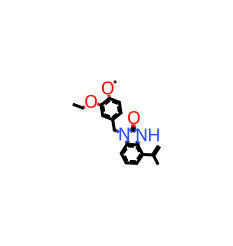 C=C(C)c1cccc2c1[nH]c(=O)n2Cc1ccc(OC)c(OCC)c1